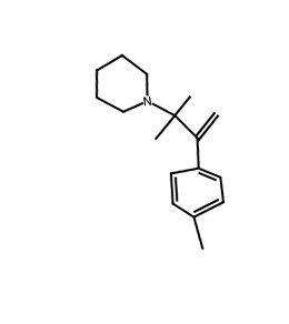 C=C(c1ccc(C)cc1)C(C)(C)N1CCCCC1